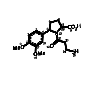 COc1ccc(C2CC[C@@H](C(=O)O)N2C(=O)CCS)cc1OC